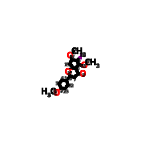 COc1ccc(-c2cc(=O)c3c(OC)c(I)c(OC)cc3o2)cc1